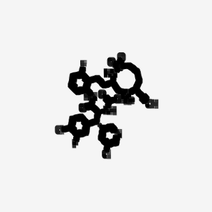 C#CC1CCCS(=O)(=O)NC(CCc2c(F)cccc2NC(=O)[C@@H](NC(=O)OC)[C@H](c2cncc(Cl)c2)c2ccc(Cl)c(F)c2)CN1